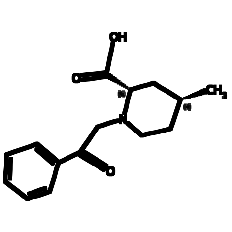 C[C@@H]1CCN(CC(=O)c2ccccc2)[C@H](C(=O)O)C1